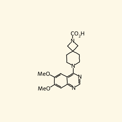 COc1cc2ncnc(N3CCC4(CC3)CN(C(=O)O)C4)c2cc1OC